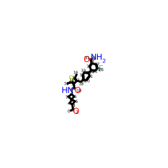 CC(=O)C1CC2(CC(NC(=O)c3c(C)sc(C)c3Cc3ccc(-c4cc(F)cc(C(N)=O)c4)cc3)C2)C1